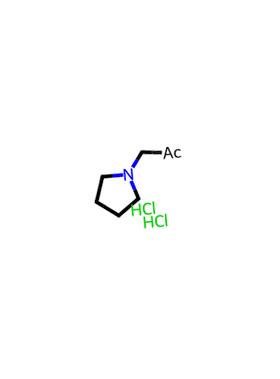 CC(=O)CN1CCCC1.Cl.Cl